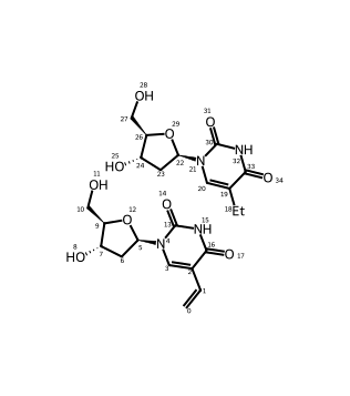 C=Cc1cn([C@H]2C[C@H](O)[C@@H](CO)O2)c(=O)[nH]c1=O.CCc1cn([C@H]2C[C@H](O)[C@@H](CO)O2)c(=O)[nH]c1=O